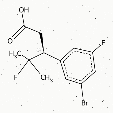 CC(C)(F)[C@@H](CC(=O)O)c1cc(F)cc(Br)c1